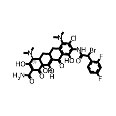 CN(C)c1c(Cl)c(NC(=O)C(Br)c2ccc(F)cc2F)c(O)c2c1CC1CC3[C@H](N(C)C)C(O)=C(C(N)=O)C(=O)[C@@]3(O)C(O)=C1C2=O